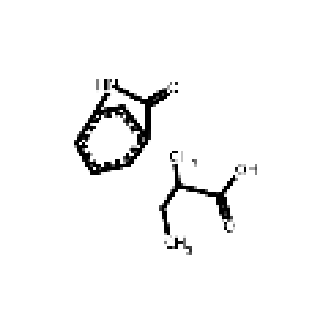 CCC(C)C(=O)O.O=C1Nc2cccc1c2